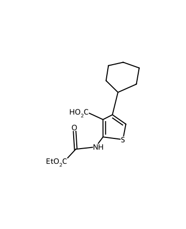 CCOC(=O)C(=O)Nc1scc(C2CCCCC2)c1C(=O)O